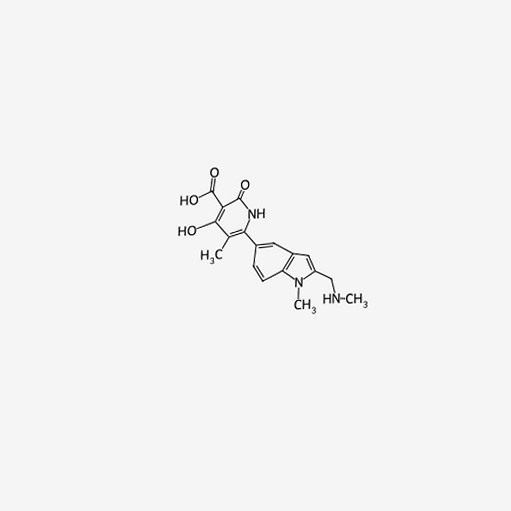 CNCc1cc2cc(-c3[nH]c(=O)c(C(=O)O)c(O)c3C)ccc2n1C